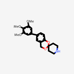 COc1cc(-c2ccc3c(c2)COC2(CCNCC2)O3)cc(OC)c1OC